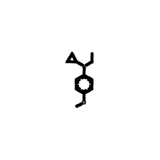 CCN(c1ccc(OC)cc1)C1CC1